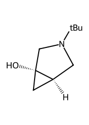 CC(C)(C)N1C[C@H]2C[C@@]2(O)C1